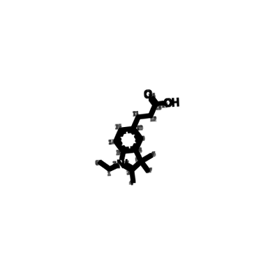 CC[N+]1=C(C)C(C)(C)c2cc(CCC(=O)O)ccc21